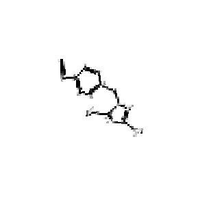 C=Cc1ccc(Cn2nc(C#N)nc2CC)cc1